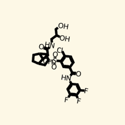 O=C(C[C@]1(O)C2CCC1C[C@@H](S(=O)(=O)c1cc(C(=O)Nc3cc(F)c(F)c(F)c3)ccc1Cl)C2)NCC(O)CO